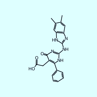 Cc1cc2nc(Nc3nc(=O)c(CC(=O)O)c(-c4ccccc4)[nH]3)[nH]c2cc1C